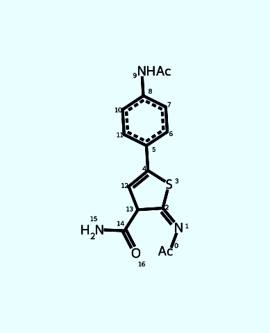 CC(=O)N=C1SC(c2ccc(NC(C)=O)cc2)=CC1C(N)=O